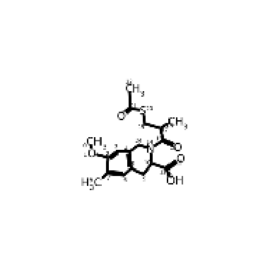 COc1cc2c(cc1C)CC(C(=O)O)N(C(=O)C(C)CSC(C)=O)C2